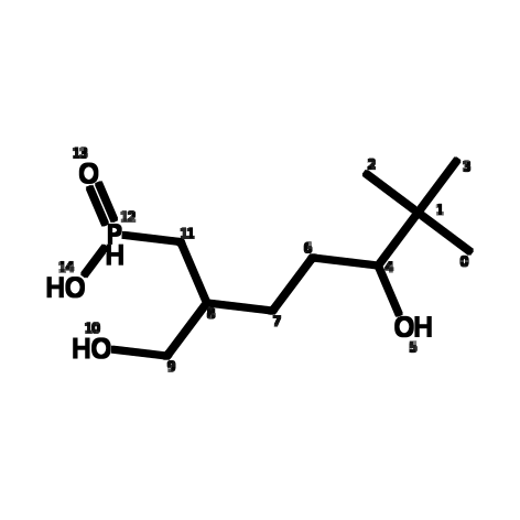 CC(C)(C)C(O)CCC(CO)C[PH](=O)O